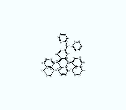 c1ccc(N(c2ccccc2)c2ccc3c(-c4cccc5c4CCCC5)c4ccccc4c(-c4cccc5c4CCCC5)c3c2)cc1